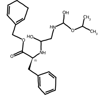 CC(C)OC(O)NCC(O)N[C@@H](Cc1ccccc1)C(=O)OCC1=CCCC=C1